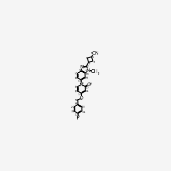 Cn1c(C2CC(C#N)C2)nc2ccc(-n3ccc(OCc4ccc(F)cc4)cc3=O)cc21